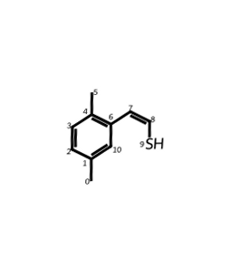 Cc1ccc(C)c(/C=C\S)c1